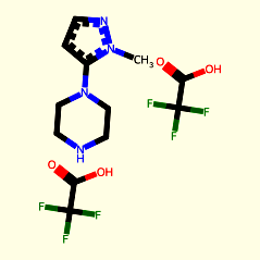 Cn1nccc1N1CCNCC1.O=C(O)C(F)(F)F.O=C(O)C(F)(F)F